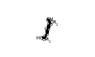 C=C(CO)C(=O)OCCOc1ccc(C(=O)Oc2ccc(OC(=O)C(=C)CC(=O)OC)cc2)cc1